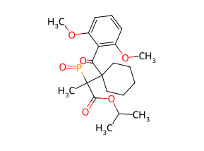 COc1cccc(OC)c1C(=O)C1(C(C)(P=O)C(=O)OC(C)C)CCCCC1